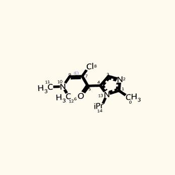 Cc1ncc(C(=O)/C(Cl)=C\N(C)C)n1C(C)C